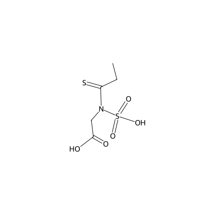 CCC(=S)N(CC(=O)O)S(=O)(=O)O